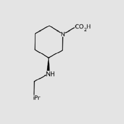 CC(C)CN[C@H]1CCCN(C(=O)O)C1